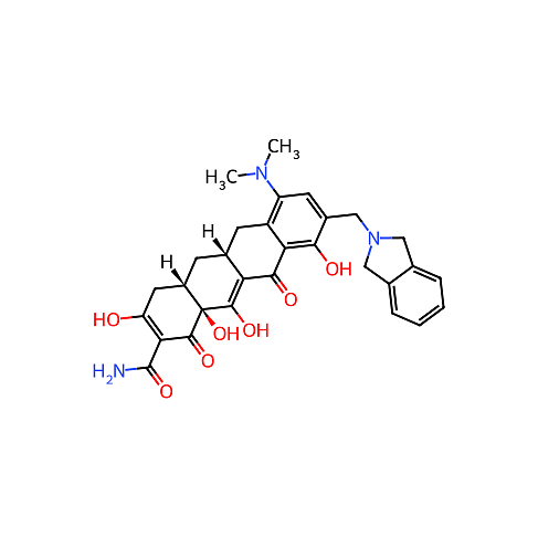 CN(C)c1cc(CN2Cc3ccccc3C2)c(O)c2c1C[C@H]1C[C@H]3CC(O)=C(C(N)=O)C(=O)[C@@]3(O)C(O)=C1C2=O